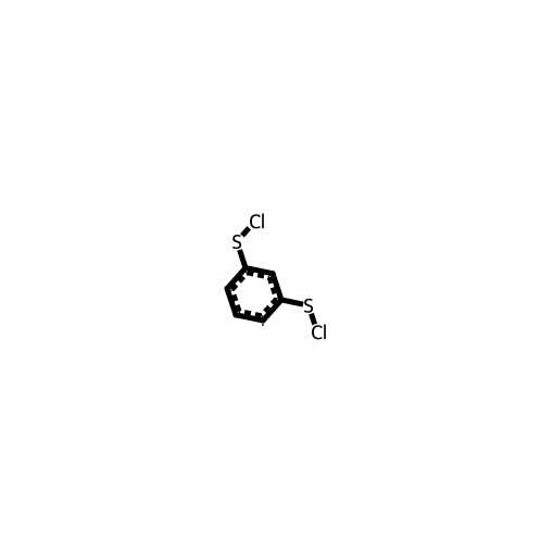 ClSc1[c]ccc(SCl)c1